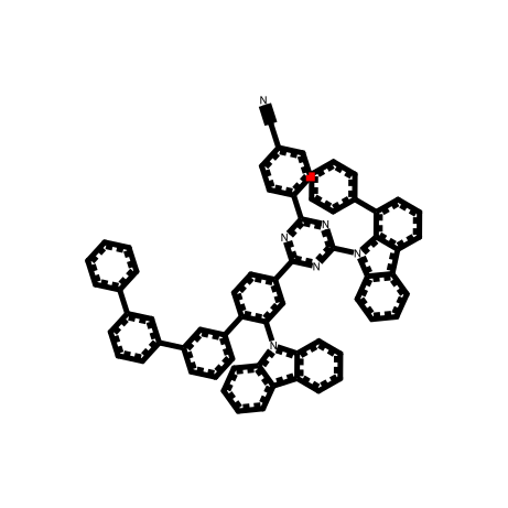 N#Cc1ccc(-c2nc(-c3ccc(-c4cccc(-c5cccc(-c6ccccc6)c5)c4)c(-n4c5ccccc5c5ccccc54)c3)nc(-n3c4ccccc4c4cccc(-c5ccccc5)c43)n2)cc1